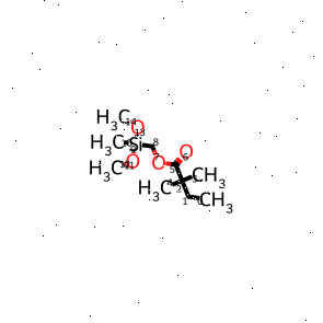 CCC(C)(C)C(=O)OC[Si](C)(OC)OC